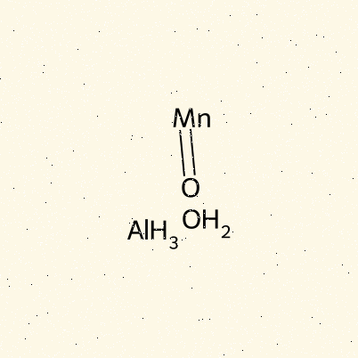 O.[AlH3].[O]=[Mn]